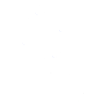 [2H]c1c(C(C)OCCC(F)(F)F)c2cc3nc(cc4ccc(cc5nc(cc1[nH]2)C=C5)[nH]4)C=C3